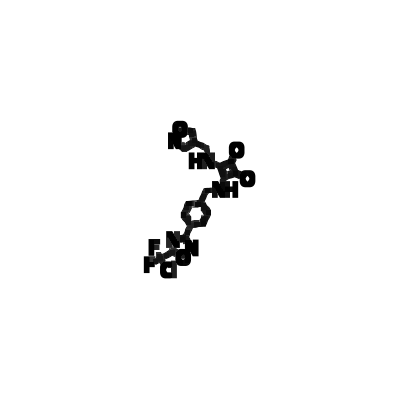 O=c1c(NCc2ccc(-c3noc(C(F)(F)Cl)n3)cc2)c(NCc2cnoc2)c1=O